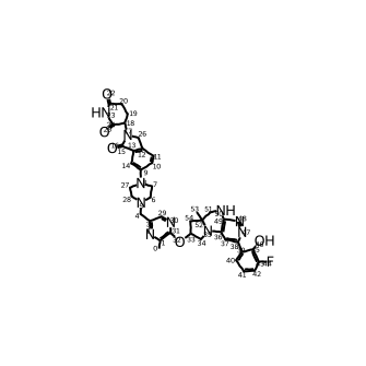 Cc1nc(CN2CCN(c3ccc4c(c3)C(=O)N(C3CCC(=O)NC3=O)C4)CC2)cnc1OC1CN2c3cc(-c4cccc(F)c4O)nnc3NCC2(C)C1